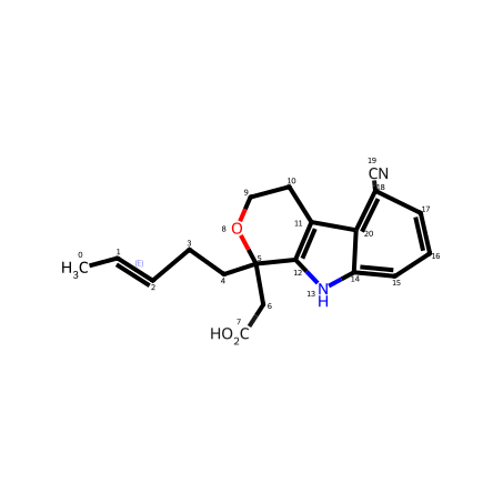 C/C=C/CCC1(CC(=O)O)OCCc2c1[nH]c1cccc(C#N)c21